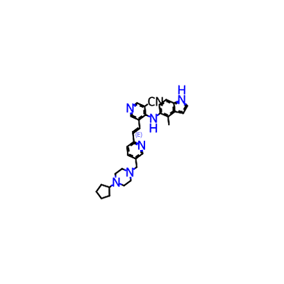 Cc1c(Nc2c(C#N)cncc2/C=C/c2ccc(CN3CCN(C4CCCC4)CC3)cn2)ccc2[nH]ccc12